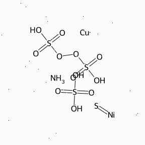 N.O=S(=O)(O)O.O=S(=O)(O)OOS(=O)(=O)O.[Cu].[S]=[Ni]